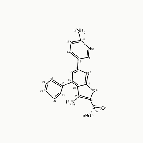 CCCC[S@@+]([O-])c1sc2nc(-c3cnc(N)nc3)cc(-c3ccccc3)c2c1N